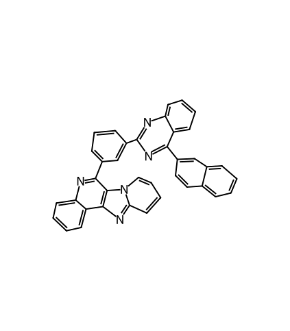 c1cc(-c2nc(-c3ccc4ccccc4c3)c3ccccc3n2)cc(-c2nc3ccccc3c3nc4ccccn4c23)c1